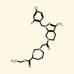 CCOC(=O)C1CCCN(CC(=O)N2CCc3c(C)nn(Cc4ccc(Cl)cc4F)c3C2)CC1